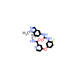 CNC(=O)c1cc(Oc2ccc(F)c(NC(=O)Nc3ccc4c(cnn4C)c3)c2)ccn1